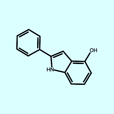 Oc1cccc2[nH]c(-c3ccccc3)cc12